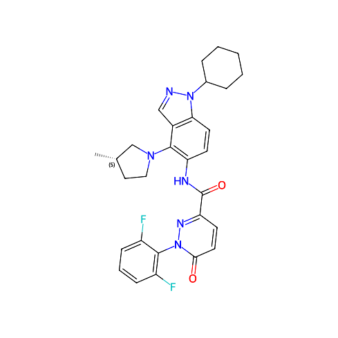 C[C@H]1CCN(c2c(NC(=O)c3ccc(=O)n(-c4c(F)cccc4F)n3)ccc3c2cnn3C2CCCCC2)C1